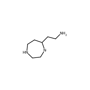 NCCC1CCNCC[N]1